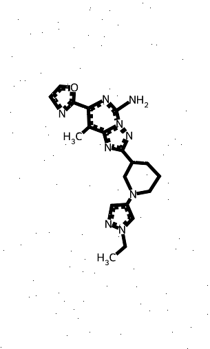 CCn1cc(N2CCCC(c3nc4c(C)c(-c5ncco5)nc(N)n4n3)C2)cn1